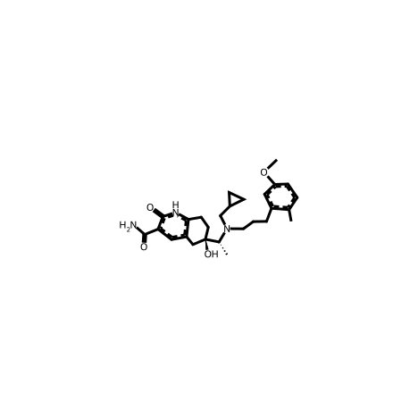 COc1ccc(C)c(CCCN(CC2CC2)[C@H](C)[C@@]2(O)CCc3[nH]c(=O)c(C(N)=O)cc3C2)c1